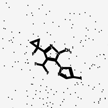 Cn1nc(C2(F)CC2)c(C(F)F)c1-n1cc(I)cn1